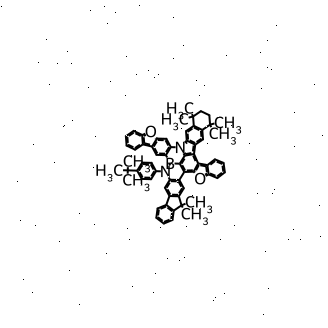 CC(C)(C)c1ccc(N2B3c4cc5c(cc4-n4c6cc7c(cc6c6c8c(oc9ccccc98)c(c3c64)-c3cc4c(cc32)-c2ccccc2C4(C)C)C(C)(C)CCC7(C)C)oc2ccccc25)cc1